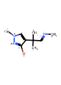 C/N=C/C(C)(C)c1cn(C(C)(C)C)nc1Br